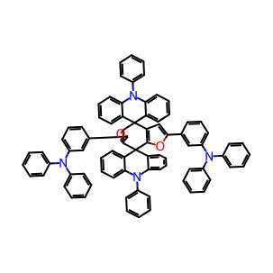 c1ccc(N(c2ccccc2)c2cccc(-c3cc4c(o3)C3(c5ccccc5N(c5ccccc5)c5ccccc53)c3cc(-c5cccc(N(c6ccccc6)c6ccccc6)c5)oc3C43c4ccccc4N(c4ccccc4)c4ccccc43)c2)cc1